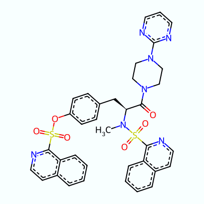 CN([C@@H](Cc1ccc(OS(=O)(=O)c2nccc3ccccc23)cc1)C(=O)N1CCN(c2ncccn2)CC1)S(=O)(=O)c1nccc2ccccc12